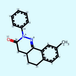 Cc1ccc2c(c1)C1=NN(c3ccccc3)C(=O)CC1CC2